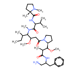 CCC(C)C(C(CC(=O)N1CCC[C@H]1C(OC)C(C)C(=O)NC(CN)Cc1ccccc1)OC)N(C)C(=O)C(NC(=O)[C@]1(C)CCCN1C)C(C)C